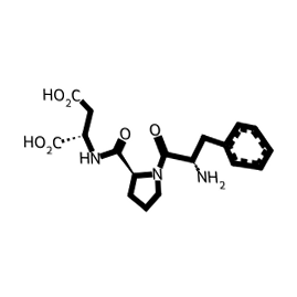 N[C@@H](Cc1ccccc1)C(=O)N1CCC[C@H]1C(=O)N[C@@H](CC(=O)O)C(=O)O